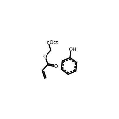 C=CC(=O)OCCCCCCCCC.Oc1ccccc1